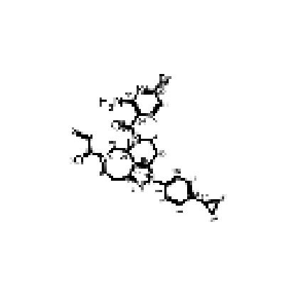 C=CC(=O)N1CCc2nn(-c3ccc(C4CC4)cc3)c3c2[C@H](C1)N(C(=O)c1ccc(Br)nc1N)CC3